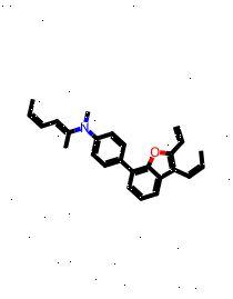 C=Cc1oc2c(-c3ccc(N(C)/C(C)=C/C=C\C)cc3)cccc2c1/C=C\C